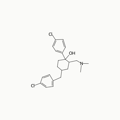 CN(C)CC1CC(Cc2ccc(Cl)cc2)CCC1(O)c1ccc(Cl)cc1